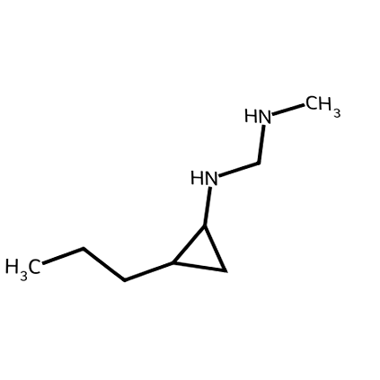 CCCC1CC1NCNC